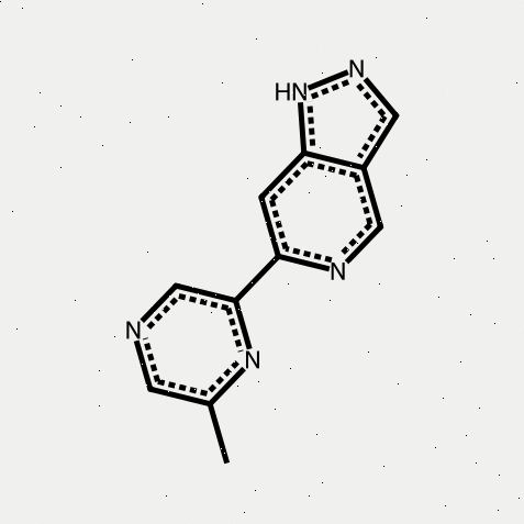 Cc1cncc(-c2cc3[nH]ncc3cn2)n1